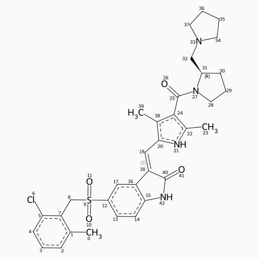 Cc1cccc(Cl)c1CS(=O)(=O)c1ccc2c(c1)/C(=C/c1[nH]c(C)c(C(=O)N3CCC[C@@H]3CN3CCCC3)c1C)C(=O)N2